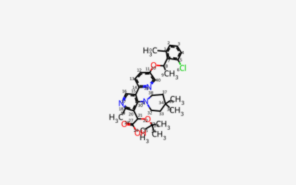 Cc1cccc(Cl)c1C(C)Oc1ccc(-c2cnc(C)c(C(OC(C)(C)C)C(=O)O)c2N2CCC(C)(C)CC2)nc1